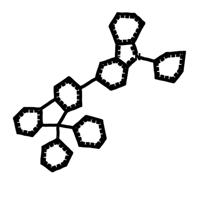 c1ccc(-n2c3ccccc3c3cc(-c4ccc5c(c4)C(c4ccccc4)(c4ccccc4)c4ccccc4-5)ccc32)cc1